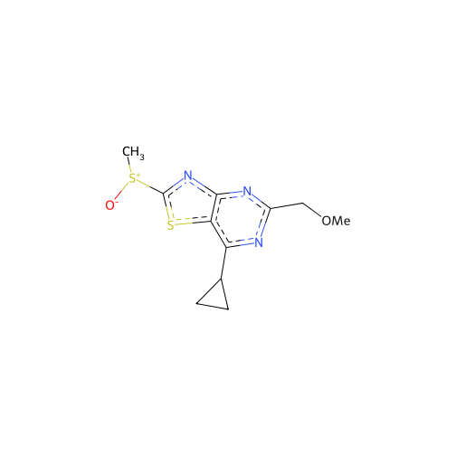 COCc1nc(C2CC2)c2sc([S+](C)[O-])nc2n1